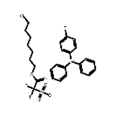 Fc1ccc([S+](c2ccccc2)c2ccccc2)cc1.O=C(OCCCCCCCCl)C(F)(F)S(=O)(=O)[O-]